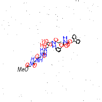 COC(=O)CNC(=O)CNC(=O)CNC(=O)CNC(=O)C[C@@H]1O[C@H](CNC(=O)CC[C@H](NC(=O)OCC2c3ccccc3-c3ccccc32)C(=O)OCc2ccccc2)[C@@H](O)[C@H]1O